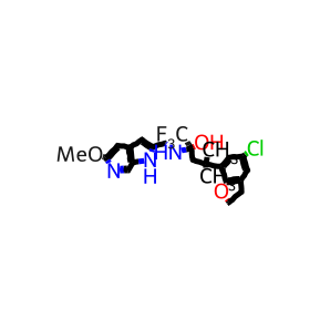 COc1cc2cc(CNC(O)(CC(C)(C)c3cc(Cl)cc4c3OCC4)C(F)(F)F)[nH]c2cn1